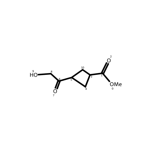 COC(=O)C1CC(C(=O)CO)C1